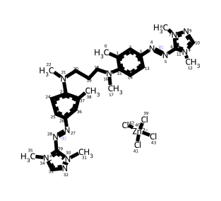 Cc1cc(/N=N/c2n(C)nc[n+]2C)ccc1N(C)CCCN(C)c1ccc(/N=N/c2n(C)nc[n+]2C)cc1C.[Cl][Zn-2]([Cl])([Cl])[Cl]